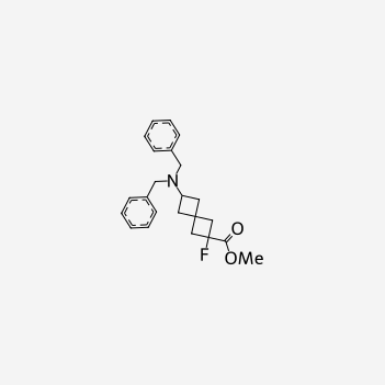 COC(=O)C1(F)CC2(CC(N(Cc3ccccc3)Cc3ccccc3)C2)C1